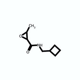 CC1OC1C(=O)NCC1CCC1